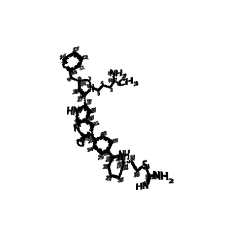 C[C@@H](N)CCCN1C[C@H](Cc2ccccc2)C[C@H]1c1cc2cn(-c3ccc([C@@H]4CCC[C@@H](CCSC(=N)N)N4)cc3)c(=O)nc2[nH]1